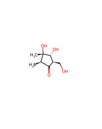 B[C@@H]1C(=O)[C@H](CO)[C@@H](O)[C@@]1(C)O